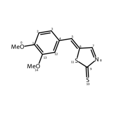 COc1ccc(C=C2C=NC(=S)S2)cc1OC